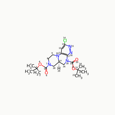 CC(C)(C)OC(=O)N1CCN2c3cc(Cl)nnc3N(C(=O)OC(C)(C)C)C[C@H]2C1